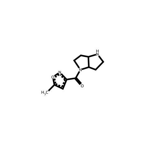 Cc1cc(C(=O)N2CCC3NCCC32)no1